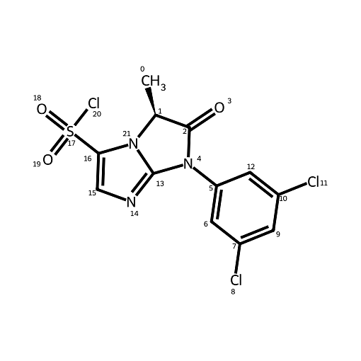 C[C@H]1C(=O)N(c2cc(Cl)cc(Cl)c2)c2ncc(S(=O)(=O)Cl)n21